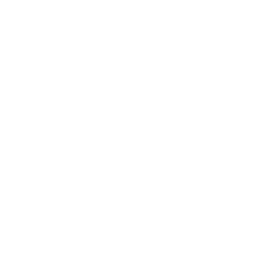 O=C1CCCCC1C(S)C1CCCCC1.c1ccc2c([S+](c3cccc4ccccc34)c3cccc4ccccc34)cccc2c1